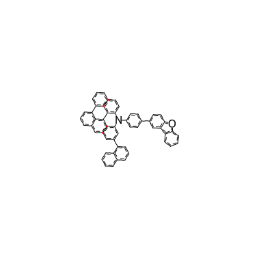 c1ccc(-c2cccc3cccc(-c4ccccc4N(c4ccc(-c5ccc6oc7ccccc7c6c5)cc4)c4cccc(-c5cccc6ccccc56)c4)c23)cc1